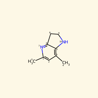 Cc1cc(C)c2c(n1)CCN2